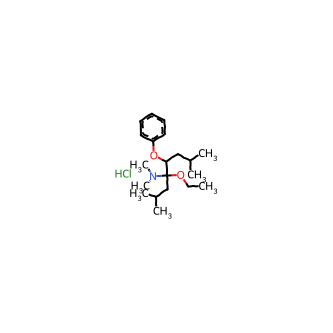 CCOC(CC(C)C)(C(CC(C)C)Oc1ccccc1)N(C)C.Cl